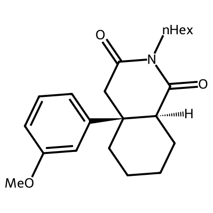 CCCCCCN1C(=O)C[C@@]2(c3cccc(OC)c3)CCCC[C@@H]2C1=O